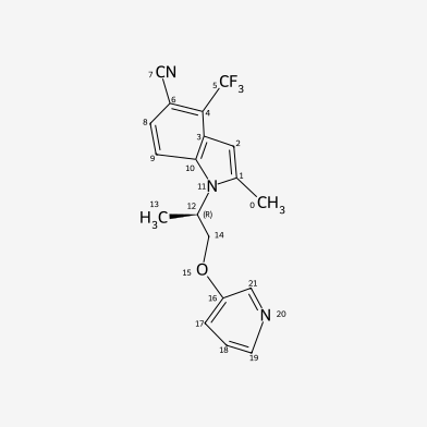 Cc1cc2c(C(F)(F)F)c(C#N)ccc2n1[C@H](C)COc1cccnc1